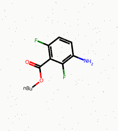 CCCCOC(=O)c1c(F)ccc(N)c1F